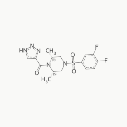 C[C@@H]1CN(S(=O)(=O)c2ccc(F)c(F)c2)C[C@H](C)N1C(=O)c1c[nH]nn1